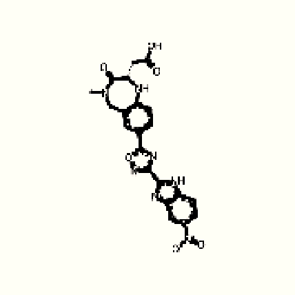 CN1Cc2cc(-c3nc(-c4nc5cc([N+](=O)[O-])ccc5[nH]4)no3)ccc2N[C@@H](CC(=O)O)C1=O